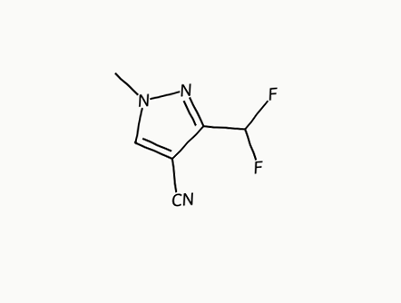 Cn1cc(C#N)c(C(F)F)n1